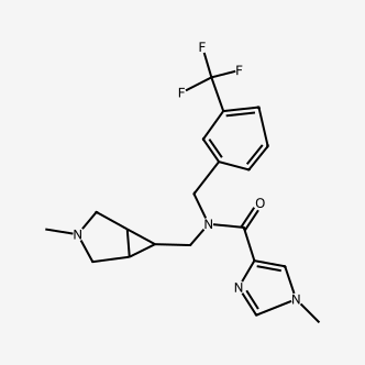 CN1CC2C(C1)C2CN(Cc1cccc(C(F)(F)F)c1)C(=O)c1cn(C)cn1